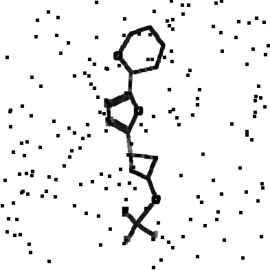 FC(F)(F)OC1CC(c2nnc(C3CCCCO3)o2)C1